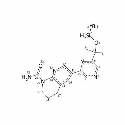 CC(C)(C)[SiH2]OC(C)(C)c1cncc(-c2cnc3c(c2)CCCN3C(N)=O)c1